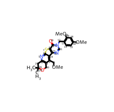 COCc1c2c(nc3sc4c(=O)n(Cc5ccc(OC)cc5OC)cnc4c13)CC(C)(C)OC2